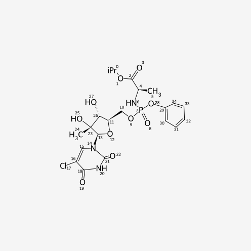 CC(C)OC(=O)[C@@H](C)N[P@](=O)(OC[C@H]1O[C@@H](n2cc(Cl)c(=O)[nH]c2=O)[C@](C)(O)[C@@H]1O)Oc1ccccc1